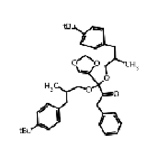 CC(COC(OCC(C)Cc1ccc(C(C)(C)C)cc1)(C(=O)Cc1ccccc1)C1=COCO1)Cc1ccc(C(C)(C)C)cc1